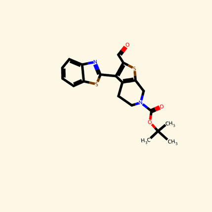 CC(C)(C)OC(=O)N1CCc2c(sc(C=O)c2-c2nc3ccccc3s2)C1